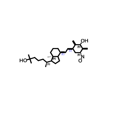 C=C1/C(=C/C=C2\CCC[C@@]3(C)C2CCC3[C@@H](C)CCCC(C)(C)O)C[C@@H](N=O)C(=C)[C@@H]1O